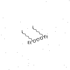 CCC(CCCCCCI)OCOCOC(CC)CCCCCCI